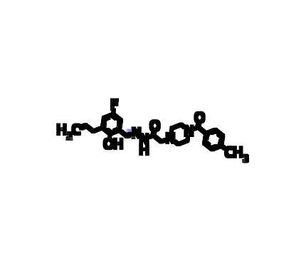 C=CCc1cc(F)cc(/C=N/NC(=O)CN2CCN(C(=O)c3ccc(C)cc3)CC2)c1O